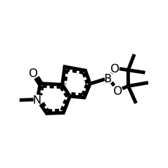 Cn1ccc2cc(B3OC(C)(C)C(C)(C)O3)ccc2c1=O